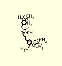 CCc1cc(CCC[C@H]2CN(Cc3ccc(C(C)(C)C)cc3)C(=O)N2C)ccc1OC(C)(C)C(=O)OC